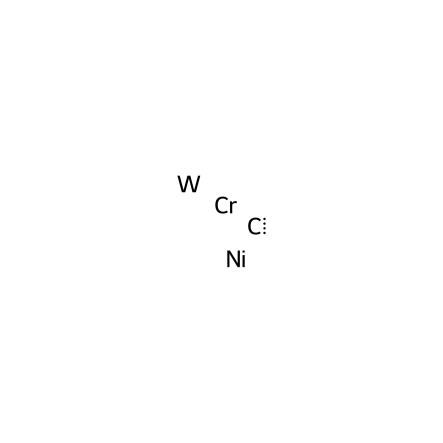 [C].[Cr].[Ni].[W]